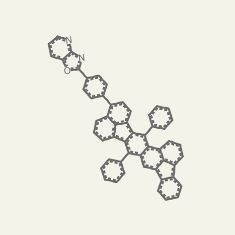 c1ccc(-c2c3cc4c5ccccc5c5cccc(c3c(-c3ccccc3)c3c6ccc(-c7ccc(-c8nc9ncccc9o8)cc7)c7cccc(c23)c76)c54)cc1